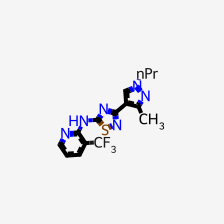 CCCn1cc(-c2nsc(Nc3ncccc3C(F)(F)F)n2)c(C)n1